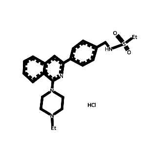 CCN1CCN(c2nc(-c3ccc(CNS(=O)(=O)CC)cc3)cc3ccccc23)CC1.Cl